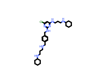 Clc1cc(NCCCNC2CCCCC2)nc(NCc2ccc(CNCCCNC3CCCCC3)cc2)n1